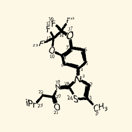 Cc1cn(-c2ccc3c(c2)OC(F)(F)C(F)(F)O3)c(=NC(=O)CC(C)C)s1